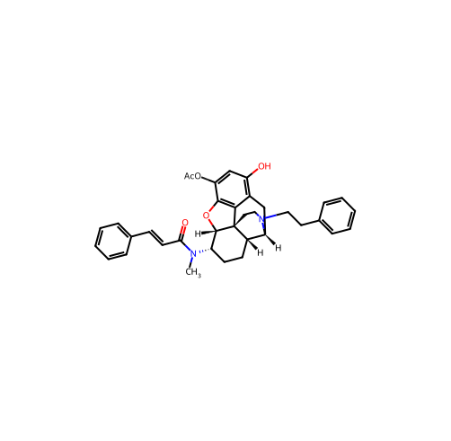 CC(=O)Oc1cc(O)c2c3c1O[C@H]1[C@@H](N(C)C(=O)C=Cc4ccccc4)CC[C@H]4[C@@H](C2)N(CCc2ccccc2)CC[C@@]341